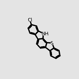 Clc1ccc2c(c1)[nH]c1c2ccc2c3ccccc3sc21